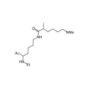 CCNC(CCCCNC(=O)C(C)CCCCNC)C(C)=O